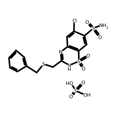 NS(=O)(=O)c1cc2c(cc1Cl)N=C(CSCc1ccccc1)NS2(=O)=O.O=S(=O)(O)O